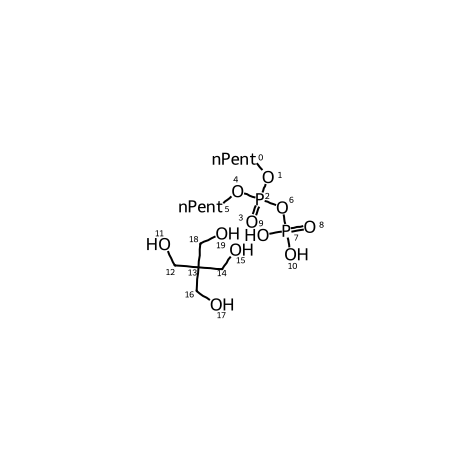 CCCCCOP(=O)(OCCCCC)OP(=O)(O)O.OCC(CO)(CO)CO